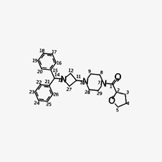 O=C(C1CCCO1)N1CCN(C2CN(C(c3ccccc3)c3ccccc3)C2)CC1